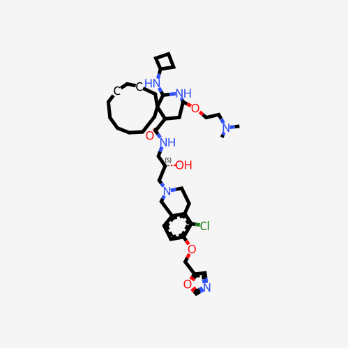 CN(C)CCOC1CC(C(=O)NC[C@H](O)CN2CCc3c(ccc(OCc4cnco4)c3Cl)C2)C2(CCCCCCCCCC2)C(NC2CCC2)N1